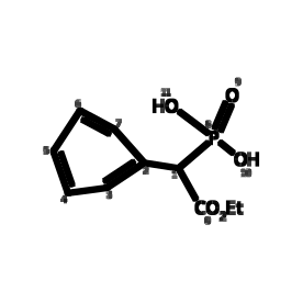 CCOC(=O)C(c1ccccc1)P(=O)(O)O